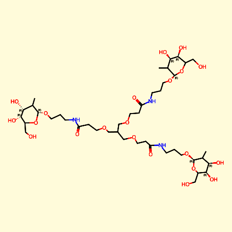 CC1[C@H](OCCCNC(=O)CCOCC(COCCC(=O)NCCCO[C@@H]2OC(CO)[C@H](O)[C@H](O)C2C)COCCC(=O)NCCCO[C@@H]2OC(CO)[C@H](O)[C@H](O)C2C)OC(CO)[C@H](O)[C@@H]1O